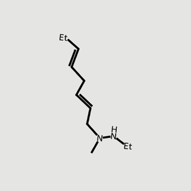 CC/C=C/C/C=C/CN(C)NCC